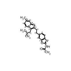 CC(=O)Nc1nc2ccc(CCc3nc4cc(C)ccn4c3CN(C)C)cc2o1